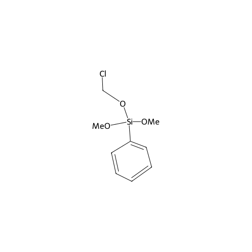 CO[Si](OC)(OCCl)c1ccccc1